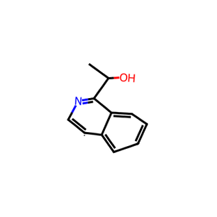 CC(O)c1nc[c]c2ccccc12